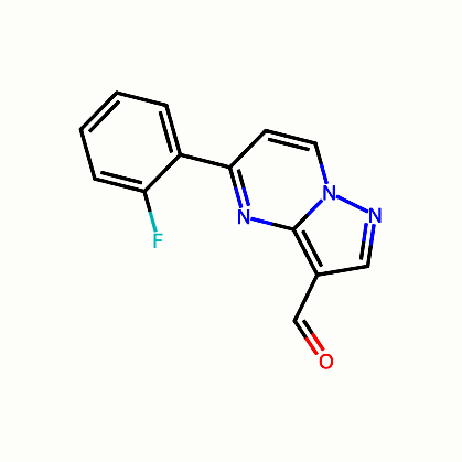 O=Cc1cnn2ccc(-c3ccccc3F)nc12